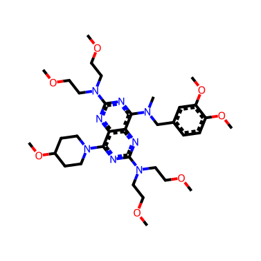 COCCN(CCOC)c1nc(N2CCC(OC)CC2)c2nc(N(CCOC)CCOC)nc(N(C)Cc3ccc(OC)c(OC)c3)c2n1